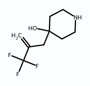 C=C(CC1(O)CCNCC1)C(F)(F)F